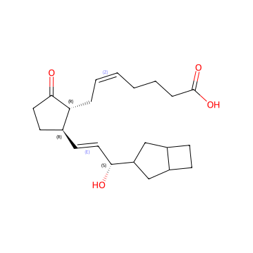 O=C(O)CCC/C=C\C[C@H]1C(=O)CC[C@@H]1/C=C/[C@@H](O)C1CC2CCC2C1